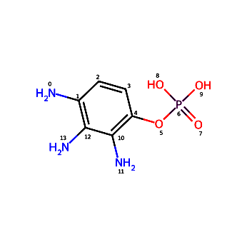 Nc1ccc(OP(=O)(O)O)c(N)c1N